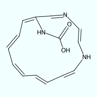 O=C(O)NC1=C\C=C\C=C/C=C/C=C/N/C=C/N=C\1